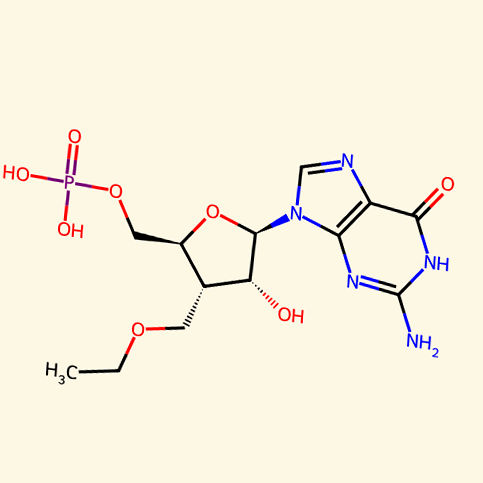 CCOC[C@H]1[C@@H](O)[C@H](n2cnc3c(=O)[nH]c(N)nc32)O[C@@H]1COP(=O)(O)O